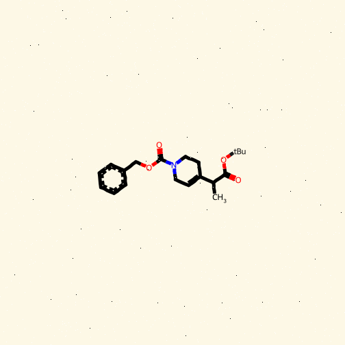 CC(C(=O)OC(C)(C)C)C1=CCN(C(=O)OCc2ccccc2)CC1